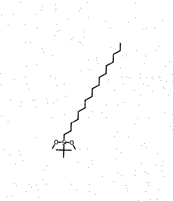 CCCCCCCCCCCCCCCCC[Si](OC)(OC)C(C)(C)C